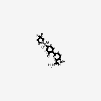 Nc1n[nH]c2ccc(-c3ccc(S(=O)(=O)N4CCC(F)(F)C4)cc3Cl)nc12